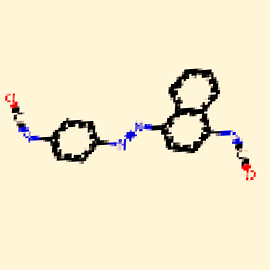 O=C=Nc1ccc(N=Nc2ccc(N=C=O)c3ccccc23)cc1